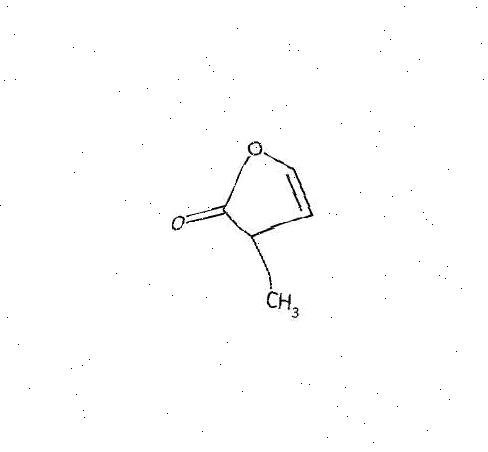 CC1C=COC1=O